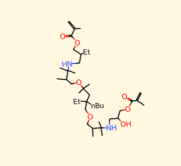 C=C(C)C(=O)OCC(O)CNC(C)(C)C(C)COCC(CC)(CCCC)CC(C)(C)OCC(C)C(C)(C)NCC(CC)COC(=O)C(=C)C